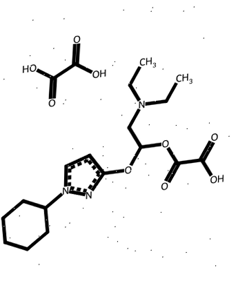 CCN(CC)CC(OC(=O)C(=O)O)Oc1ccn(C2CCCCC2)n1.O=C(O)C(=O)O